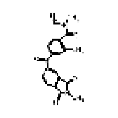 Cc1cc(C(=O)c2ccc3c(c2)C(=O)N(C)C3=O)ccc1C(=O)N(C)C=O